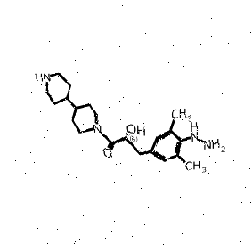 Cc1cc(C[C@@H](O)C(=O)N2CCC(C3CCNCC3)CC2)cc(C)c1NN